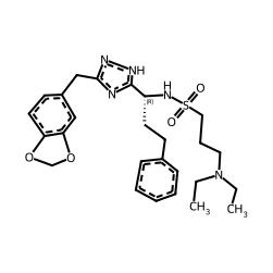 CCN(CC)CCCS(=O)(=O)N[C@H](CCc1ccccc1)c1nc(Cc2ccc3c(c2)OCO3)n[nH]1